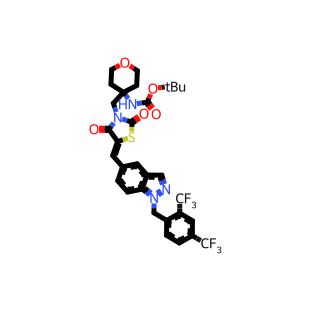 CC(C)(C)OC(=O)NC1(CN2C(=O)SC(=Cc3ccc4c(cnn4Cc4ccc(C(F)(F)F)cc4C(F)(F)F)c3)C2=O)CCOCC1